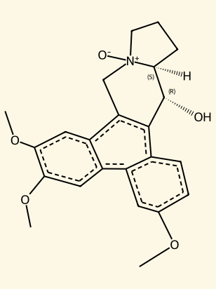 COc1ccc2c3c(c4cc(OC)c(OC)cc4c2c1)C[N+]1([O-])CCC[C@H]1[C@@H]3O